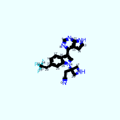 N#CCC1(n2cc(-c3ncnc4[nH]ccc34)c3ccc(CC(F)(F)F)cc32)CNC1